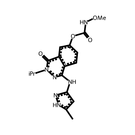 CONC(=O)Oc1ccc2c(Nc3cc(C)[nH]n3)nn(C(C)C)c(=O)c2c1